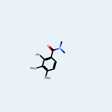 CCCc1c(C(=O)N(C)C)ccc(OC)c1OC